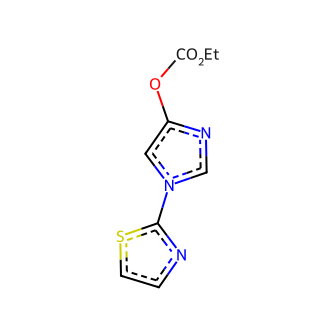 CCOC(=O)Oc1cn(-c2nccs2)cn1